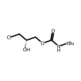 CC(C)(C)NC(=O)OC[C@H](O)CCl